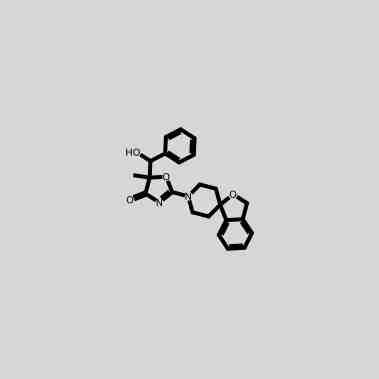 CC1(C(O)c2ccccc2)OC(N2CCC3(CC2)OCc2ccccc23)=NC1=O